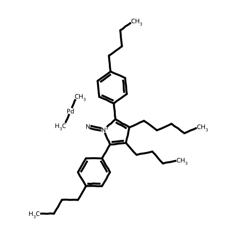 CCCCCC1=C(c2ccc(CCCC)cc2)[N+](=[N-])C(c2ccc(CCCC)cc2)=C1CCCC.[CH3][Pd][CH3]